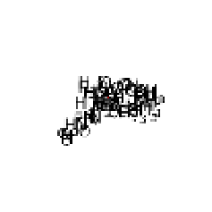 CC[C@H]1OC(=O)[C@H](C)[C@@H](O[C@H]2C[C@@](C)(OC)[C@@H](O)[C@H](C)O2)C[C@@H](O[C@@H]2O[C@H](C)C[C@H](N(C)CCc3cn(C(CF)CNC(=O)c4ccc([N+](=O)[O-])cc4)nn3)[C@H]2O)[C@](C)(O)C[C@@H](C)CN(C)[C@H](C)[C@@H](O)[C@]1(C)O